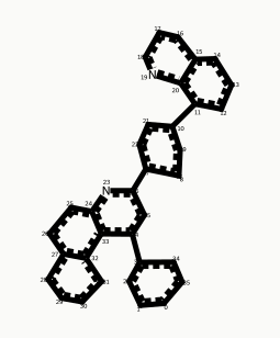 c1ccc(-c2cc(-c3ccc(-c4cccc5cccnc45)cc3)nc3ccc4ccccc4c23)cc1